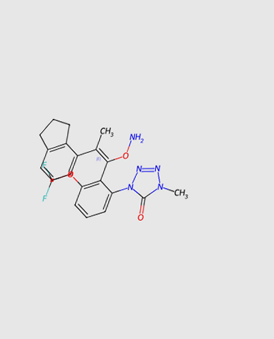 C/C(=C(\ON)c1c(OC(F)F)cccc1-n1nnn(C)c1=O)c1cccc2c1CCC2